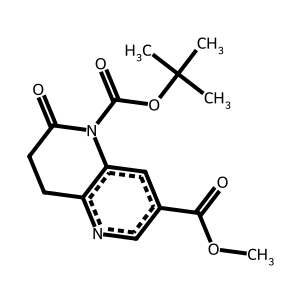 COC(=O)c1cnc2c(c1)N(C(=O)OC(C)(C)C)C(=O)CC2